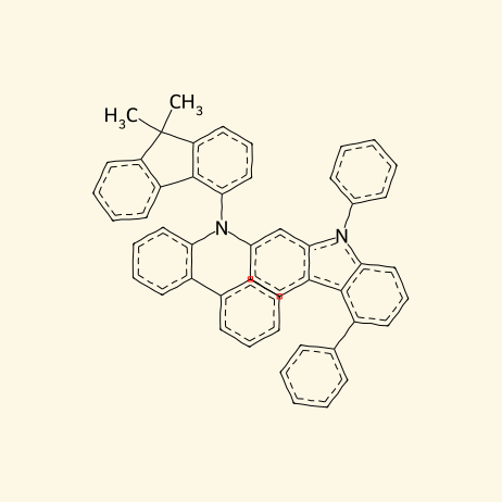 CC1(C)c2ccccc2-c2c(N(c3ccc4c5c(-c6ccccc6)cccc5n(-c5ccccc5)c4c3)c3ccccc3-c3ccccc3)cccc21